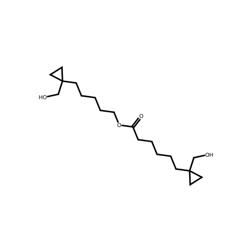 O=C(CCCCCC1(CO)CC1)OCCCCCC1(CO)CC1